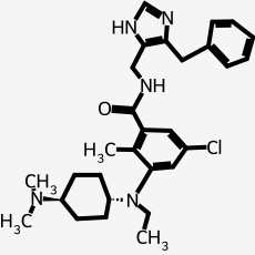 CCN(c1cc(Cl)cc(C(=O)NCc2[nH]cnc2Cc2ccccc2)c1C)[C@H]1CC[C@H](N(C)C)CC1